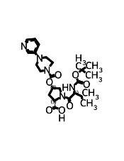 CC(C)[C@H](NC(=O)OC(C)(C)C)C(=O)N1C[C@H](OC(=O)N2CCN(c3cccnc3)CC2)C[C@H]1C(=O)O